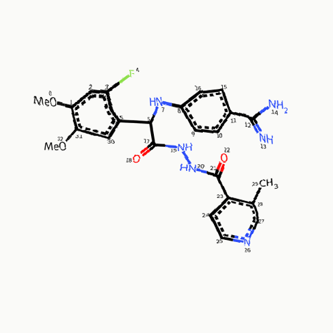 COc1cc(F)c(C(Nc2ccc(C(=N)N)cc2)C(=O)NNC(=O)c2ccncc2C)cc1OC